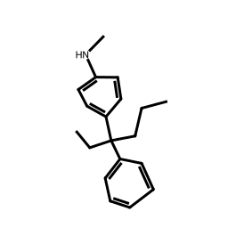 CCCC(CC)(c1ccccc1)c1ccc(NC)cc1